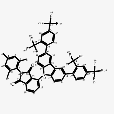 Cc1cc(C)c(N2C(=O)c3cccc(-n4c5ccc(-c6ccc(C(F)(F)F)cc6C(F)(F)F)cc5c5cc(-c6ccc(C(F)(F)F)cc6C(F)(F)F)ccc54)c3C2=O)c(C)c1